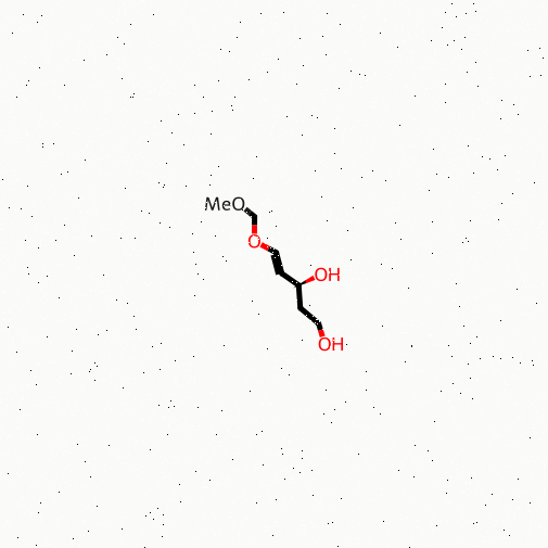 COCO/C=C/[C@@H](O)CCO